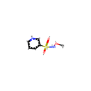 CCONS(=O)(=O)c1cccnc1